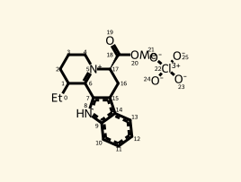 CCC1CCC[N+]2=C1c1[nH]c3ccccc3c1C[C@@H]2C(=O)OC.[O-][Cl+3]([O-])([O-])[O-]